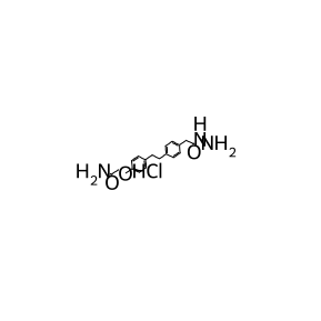 Cl.NNC(=O)Cc1ccc(CCc2ccc(OCC(N)=O)cc2)cc1